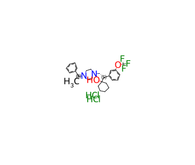 C[C@H](c1ccccc1)N1CCN(C[C@H](c2cccc(OC(F)(F)F)c2)C2(O)CCCCC2)CC1.Cl.Cl